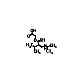 CC(C)N/C=C(\C(=N)OCC(=O)O)C(C)C